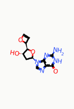 Nc1nc2c(ncn2[C@H]2C[C@H](O)[C@@H](C3C=CO3)O2)c(=O)[nH]1